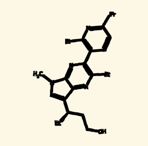 CCc1nc(C(C)C)ccc1-c1nc2c(nc1CC)c([C@H](CC)CCO)cn2C